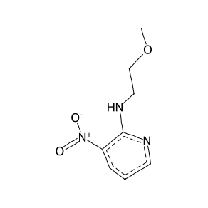 COCCNc1ncccc1[N+](=O)[O-]